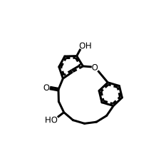 O=C1CC(O)CCCCc2ccc(cc2)Oc2cc1ccc2O